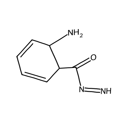 N=NC(=O)C1C=CC=CC1N